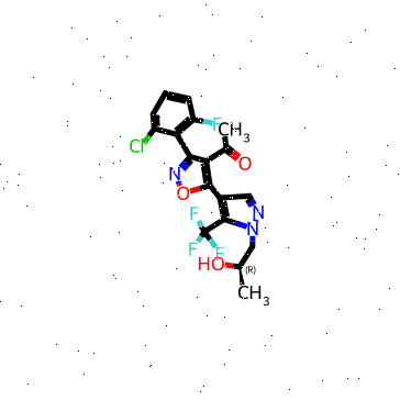 CC(=O)c1c(-c2c(F)cccc2Cl)noc1-c1cnn(C[C@@H](C)O)c1C(F)(F)F